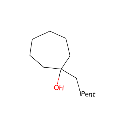 CCCC(C)CC1(O)CCCCCC1